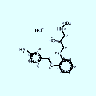 Cc1noc(COc2ccccc2OCC(O)CNC(C)(C)C)n1.Cl